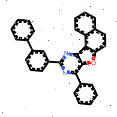 c1ccc(-c2cccc(-c3nc(-c4ccccc4)c4oc5ccc6ccccc6c5c4n3)c2)cc1